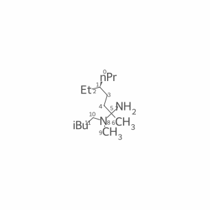 CCC[C@H](CC)CCC(C)(N)N(C)CC(C)CC